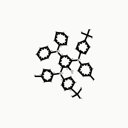 Cc1ccc(N(c2ccc(C(C)(C)C)cc2)c2cc(N(c3ccccc3)c3ccccc3)cc(N(c3ccc(C)cc3)c3ccc(C(C)(C)C)cc3)c2Cl)cc1